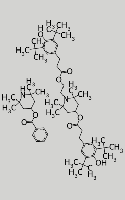 CC(C)(C)c1cc(CCC(=O)OCCN2C(C)(C)CC(OC(=O)CCc3cc(C(C)(C)C)c(O)c(C(C)(C)C)c3)CC2(C)C)cc(C(C)(C)C)c1O.CC1(C)CC(OC(=O)c2ccccc2)CC(C)(C)N1